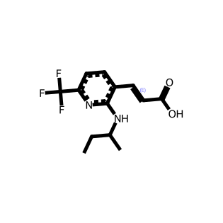 CCC(C)Nc1nc(C(F)(F)F)ccc1/C=C/C(=O)O